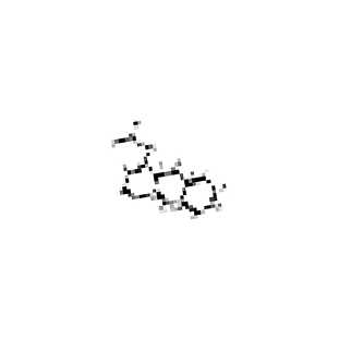 C[C](C)Cc1cccc2cc3ccccc3cc12